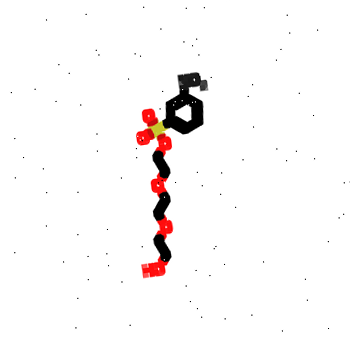 O=[N+]([O-])c1cccc(S(=O)(=O)OCCOCCOCCO)c1